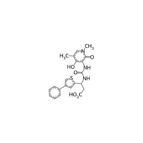 Cc1cn(C)c(=O)c(NC(=O)NC(CC(=O)O)c2cc(-c3ccccc3)cs2)c1O